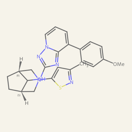 COc1ccc(-c2cccn3nc(NC4[C@@H]5CC[C@H]4CN(c4cc(C)ns4)C5)nc23)cc1